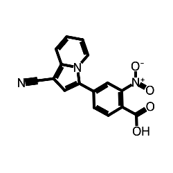 N#Cc1cc(-c2ccc(C(=O)O)c([N+](=O)[O-])c2)n2ccccc12